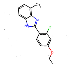 [CH2]COc1ccc(-c2nc3c(C)cccc3[nH]2)c(Cl)c1